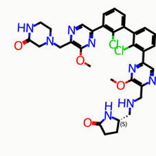 COc1nc(-c2cccc(-c3cccc(-c4cnc(CN5CCNC(=O)C5)c(OC)n4)c3Cl)c2Cl)cnc1CNC[C@@H]1CCC(=O)N1